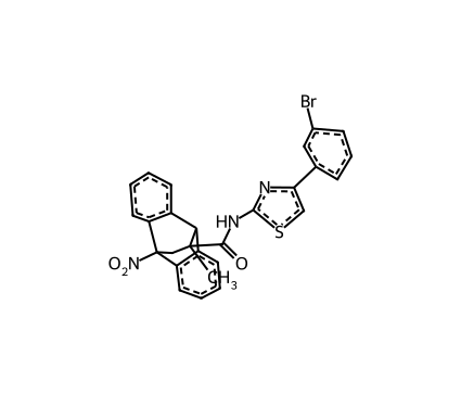 CC1(C(=O)Nc2nc(-c3cccc(Br)c3)cs2)CC2([N+](=O)[O-])c3ccccc3C1c1ccccc12